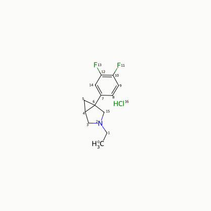 CCN1CC2CC2(c2ccc(F)c(F)c2)C1.Cl